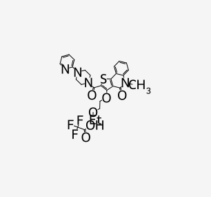 CCOCCOc1c(C(=O)N2CCN(c3ccccn3)CC2)sc2c1c(=O)n(C)c1ccccc21.O=C(O)C(F)(F)F